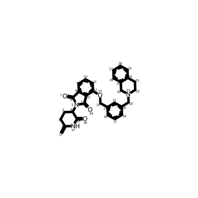 C=C1CCC(N2C(=O)c3cccc(OCc4cccc(CN5CCc6ccccc6C5)c4)c3C2=O)C(=O)N1